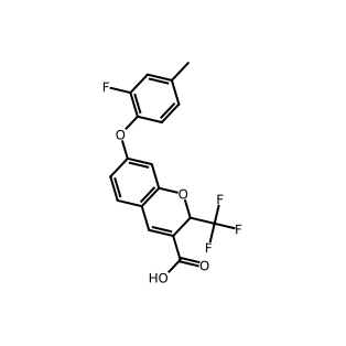 Cc1ccc(Oc2ccc3c(c2)OC(C(F)(F)F)C(C(=O)O)=C3)c(F)c1